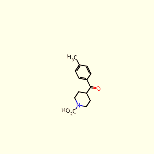 Cc1ccc(C(=O)C2CCN(C(=O)O)CC2)cc1